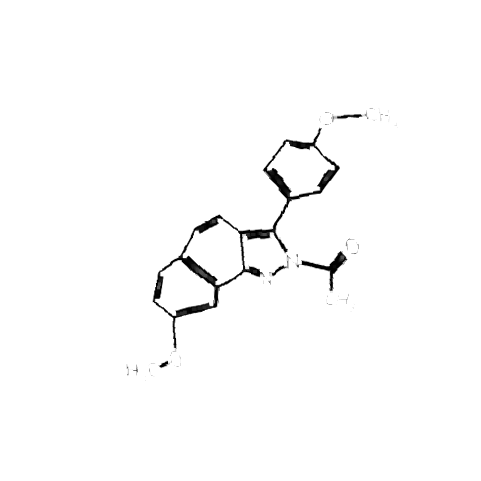 COc1ccc(-c2c3ccc4ccc(OC)cc4c3nn2C(C)=O)cc1